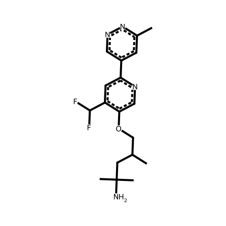 Cc1cc(-c2cc(C(F)F)c(OCC(C)CC(C)(C)N)cn2)cnn1